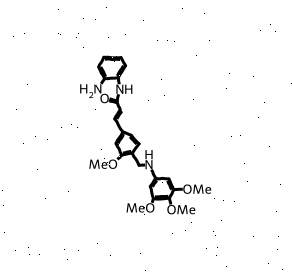 COc1cc(C=CC(=O)Nc2ccccc2N)ccc1CNc1cc(OC)c(OC)c(OC)c1